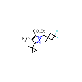 CCOC(=O)c1c(C(F)(F)F)c(C2(C)CC2)nn1CC1(C)CC(F)(F)C1